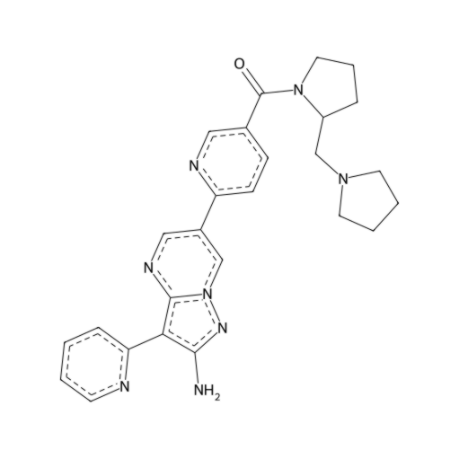 Nc1nn2cc(-c3ccc(C(=O)N4CCCC4CN4CCCC4)cn3)cnc2c1-c1ccccn1